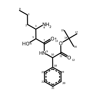 CCCC(N)C(O)C(=O)NC(C(=O)OC(C)(C)C)c1ccccc1